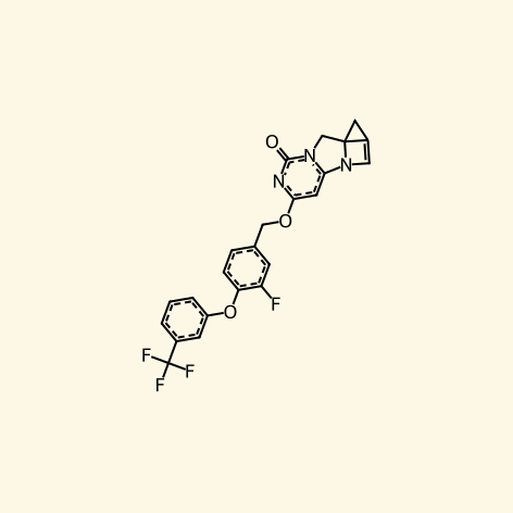 O=c1nc(OCc2ccc(Oc3cccc(C(F)(F)F)c3)c(F)c2)cc2n1CC13CC1=CN23